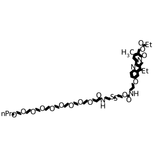 CCCOCCOCCOCCOCCOCCOCCOCCOCCOCCC(=O)NCCSSCCOC(=O)NCCCOc1ccc2nc3c(c(CC)c2c1)Cn1c-3cc(C)c(COC(=O)CC)c1=O